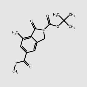 COC(=O)c1cc(C)c2c(c1)CN(C(=O)OC(C)(C)C)C2=O